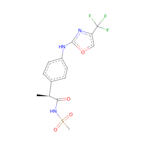 C[C@H](C(=O)NS(C)(=O)=O)c1ccc(Nc2nc(C(F)(F)F)co2)cc1